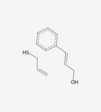 C=CCS.OCC=Cc1ccccc1